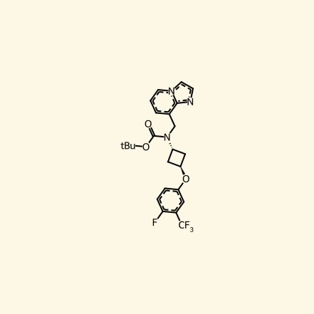 CC(C)(C)OC(=O)N(Cc1cccn2ccnc12)[C@H]1C[C@H](Oc2ccc(F)c(C(F)(F)F)c2)C1